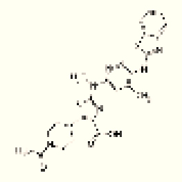 CC(=O)N1CCC(c2sc(N(C)c3cc(C)c(Nc4nc5ccccc5s4)nn3)nc2C(=O)O)CC1